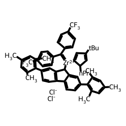 CCCC1C=C(C(C)(C)C)C=[C]1[Zr+2](=[C](c1ccc(C(F)(F)F)cc1)c1ccc(C(F)(F)F)cc1)[CH]1c2cc(-c3c(C)cc(C)cc3C)ccc2-c2ccc(-c3c(C)cc(C)cc3C)cc21.[Cl-].[Cl-]